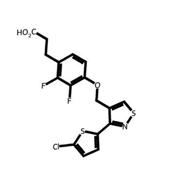 O=C(O)CCc1ccc(OCc2csnc2-c2ccc(Cl)s2)c(F)c1F